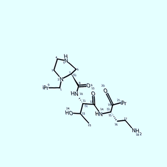 CC(C)CN1CCNC[C@H]1C(=O)N[C@H](C(=O)N[C@@H](CCN)C(=O)C(C)C)C(C)O